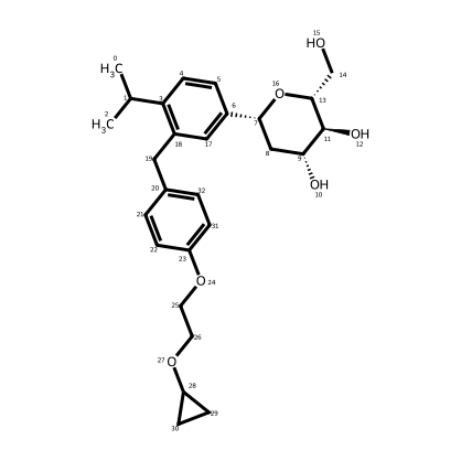 CC(C)c1ccc([C@H]2C[C@@H](O)[C@H](O)[C@@H](CO)O2)cc1Cc1ccc(OCCOC2CC2)cc1